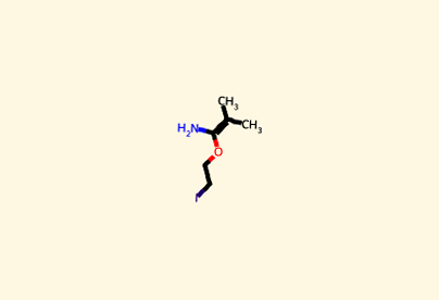 CC(C)=C(N)OCCI